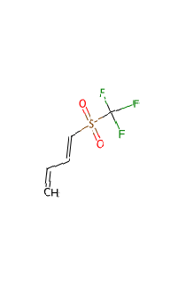 [CH]=CC=CS(=O)(=O)C(F)(F)F